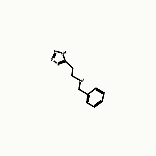 c1ccc(CNCCc2nnn[nH]2)cc1